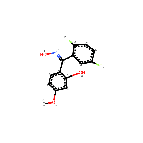 COc1ccc(/C(=N\O)c2cc(F)ccc2F)c(O)c1